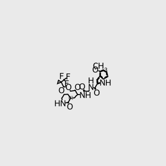 COc1cccc2[nH]c(C(=O)NCC(=O)NC(C[C@@H]3CCCNC3=O)C(=O)COC(=O)C3(C(F)(F)F)CC3)cc12